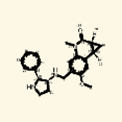 COc1cc2c(cc1CN[C@H]1CCN[C@H]1c1ccccc1)N(C)C(=O)[C@@H]1C[C@H]21